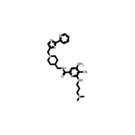 CN(C)CCCNc1nc(C(=O)NCC2CCN(Cc3cnc(-c4ccccn4)s3)CC2)cc(N)c1C#N